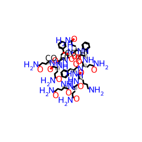 NCCCC[C@H](NC(=O)[C@H](CCC(N)=O)NC(=O)[C@@H](N)CCC(N)=O)C(=O)N[C@@H](Cc1ccccc1)C(=O)N[C@@H](CCC(N)=O)C(=O)N[C@@H](Cc1ccccc1)C(=O)N[C@@H](CCC(N)=O)C(=O)N[C@@H](Cc1ccccc1)C(=O)N[C@@H](CCC(=O)O)C(=O)N[C@@H](CCC(N)=O)C(=O)N[C@@H](CCC(N)=O)C(=O)O